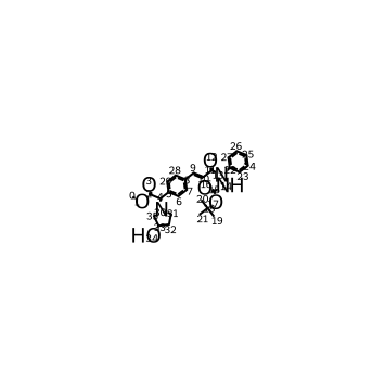 COC(=O)C(c1ccc(C=CC(=O)N(NC(=O)OC(C)(C)C)c2ccccc2)cc1)N1CCC(O)C1